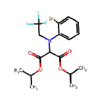 CC(C)OC(=O)C(C(=O)OC(C)C)N(CC(F)(F)F)c1ccccc1Br